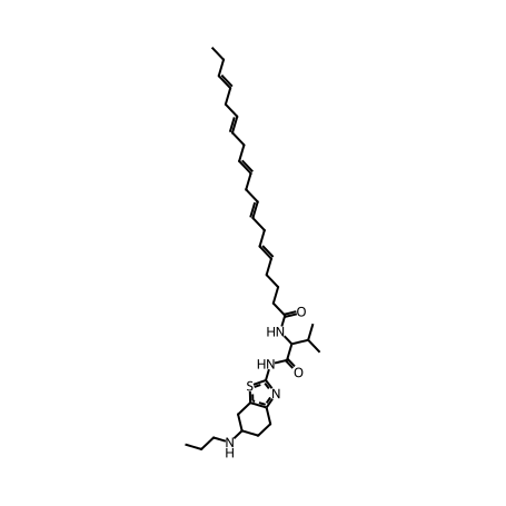 CCC=CCC=CCC=CCC=CCC=CCCCC(=O)NC(C(=O)Nc1nc2c(s1)CC(NCCC)CC2)C(C)C